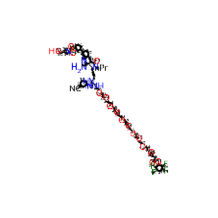 CCCN(CC#CCN/C(=N\c1cccc(C#N)c1)NCCOCCOCCOCCOCCOCCOCCOCCOCCOCCOCCC(=O)Oc1c(F)c(F)cc(F)c1F)C(=O)C1=Cc2ccc(-c3cccc(S(=O)(=O)N4CC(CO)C4)c3)cc2N=C(N)C1